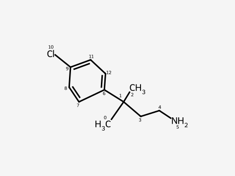 CC(C)(CCN)c1ccc(Cl)cc1